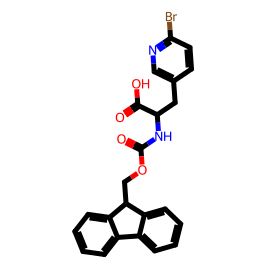 O=C(NC(Cc1ccc(Br)nc1)C(=O)O)OCC1c2ccccc2-c2ccccc21